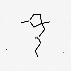 CCCNCC1(C)CCN(C)C1